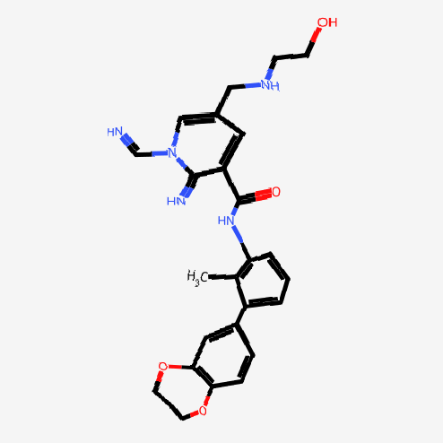 Cc1c(NC(=O)c2cc(CNCCO)cn(C=N)c2=N)cccc1-c1ccc2c(c1)OCCO2